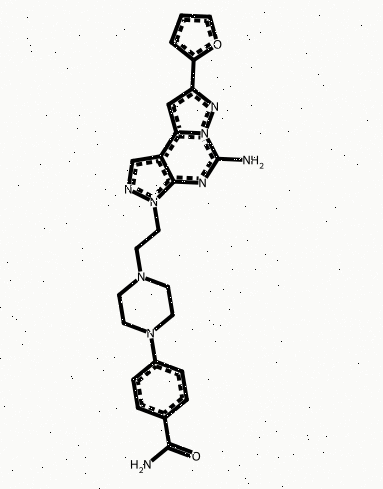 NC(=O)c1ccc(N2CCN(CCn3ncc4c3nc(N)n3nc(-c5ccco5)cc43)CC2)cc1